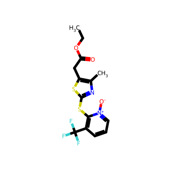 CCOC(=O)Cc1sc(Sc2c(C(F)(F)F)ccc[n+]2[O-])nc1C